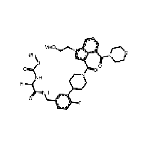 COCCn1cc(C(=O)N2CCC(c3cc(CNC(=O)[C@H](NC(=O)OC(C)(C)C)C(C)C)ccc3F)CC2)c2c(C(=O)N3CCOCC3)cccc21